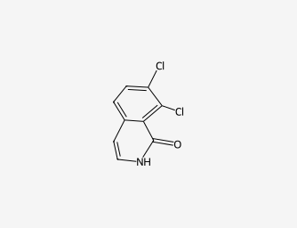 O=c1[nH]ccc2ccc(Cl)c(Cl)c12